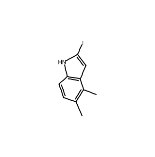 Cc1ccc2[nH]c(I)cc2c1C